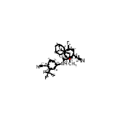 CC(O)(CN1CC2CC(C1)N2c1ccc(C#N)cc1F)C(=O)Nc1ccc(C#N)c(C(F)(F)F)c1